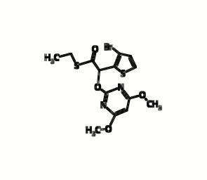 CCSC(=O)C(Oc1nc(OC)cc(OC)n1)c1sccc1Br